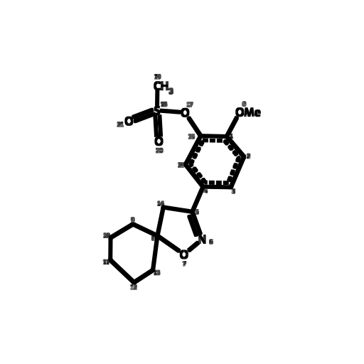 COc1ccc(C2=NOC3(CCCCC3)C2)cc1OS(C)(=O)=O